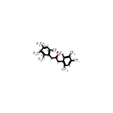 O=C(Cc1c(C(F)(F)F)cc(C(F)(F)F)c(C(F)(F)F)c1C(F)(F)F)Cc1c(C(F)(F)F)cc(C(F)(F)F)c(C(F)(F)F)c1C(F)(F)F